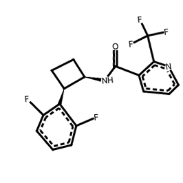 O=C(N[C@@H]1CC[C@@H]1c1c(F)cccc1F)c1cccnc1C(F)(F)F